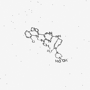 [CH2]c1cc(Nc2ncc3c(n2)N(C)CN(c2c(Cl)cccc2Cl)C3=O)ccc1N1CCS(O)(O)CC1